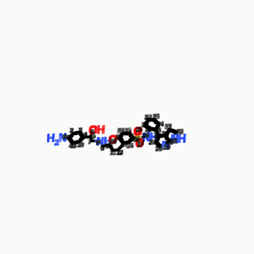 Nc1ccc(C(O)CNCC2CCc3cc(S(=O)(=O)Nc4ccccc4-c4ccnc5[nH]ccc45)ccc3O2)cc1